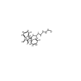 C=C[C](=C)[Sn]([CH2]CCCCCCC)([c]1ccccc1)[c]1ccccc1